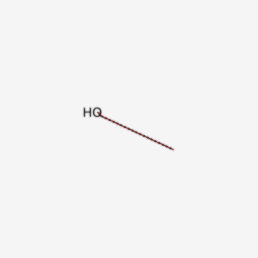 CC#CC#CC#CC#CC#CC#CC#CC#CC#CC#CC#CC#CC#CC#CC#CC#CC#CC#CC#CCCO